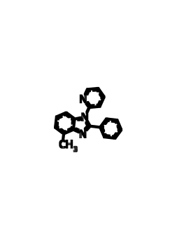 Cc1cccc2c1nc(-c1ccccc1)n2-c1ccccn1